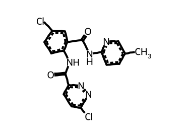 Cc1ccc(NC(=O)c2cc(Cl)ccc2NC(=O)c2ccc(Cl)nn2)nc1